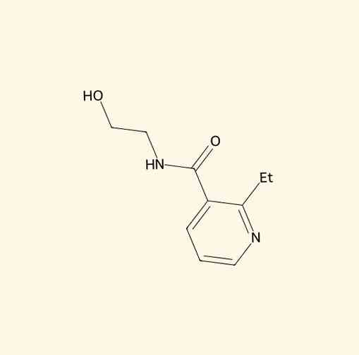 CCc1ncccc1C(=O)NCCO